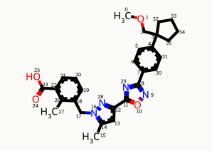 COCC1(c2ccc(-c3noc(-c4cc(C)n(Cc5cccc(C(=O)O)c5C)n4)n3)cc2)CCCC1